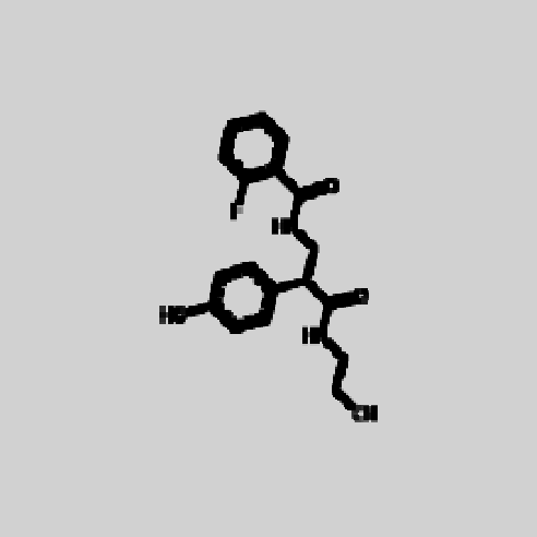 N#CCCNC(=O)C(CNC(=O)c1ccccc1F)c1ccc(O)cc1